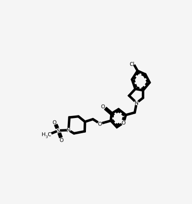 CS(=O)(=O)N1CCC(COc2coc(CN3Cc4ccc(Cl)cc4C3)cc2=O)CC1